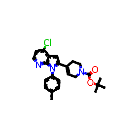 Cc1ccc(-n2c(C3=CCN(C(=O)OC(C)(C)C)CC3)cc3c(Cl)ccnc32)cc1